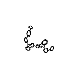 c1ccc(-c2ccc(-c3cccc(-n4c5ccccc5c5cc(-c6ccc7c(c6)c6ccccc6n7-c6cccc(-c7ccccc7)c6)ccc54)c3)cc2)cc1